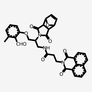 Cc1cccc(OCC(CNC(=O)CCN2C(=O)c3cccc4cccc(c34)C2=O)N2C(=O)C3C4C=CC(O4)C3C2=O)c1C=O